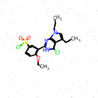 CCCn1cc(CC)c2c1N=C(c1cc(S(=O)(=O)Cl)ccc1OCC)NC2Cl